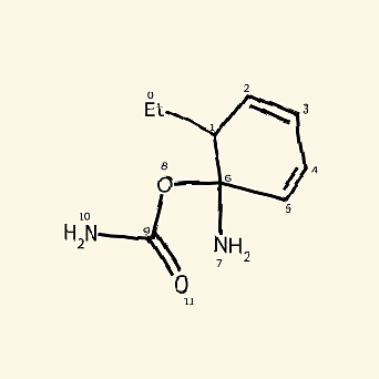 CCC1C=CC=CC1(N)OC(N)=O